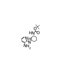 CC(C)(C)OC(=O)N[C@@H]1CCC[C@H](Nc2ncccc2N)C1